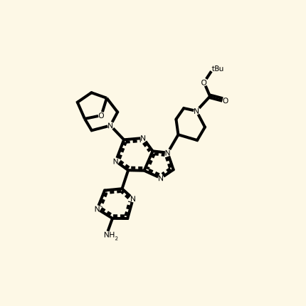 CC(C)(C)OC(=O)N1CCC(n2cnc3c(-c4cnc(N)cn4)nc(N4CC5CCC(C4)O5)nc32)CC1